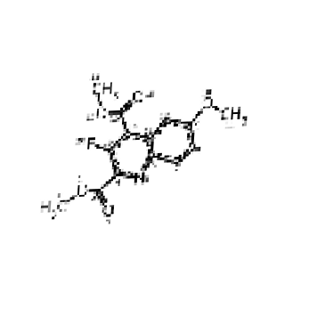 COC(=O)c1nc2ccc(OC)cc2c(C(=O)OC)c1F